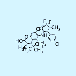 Cc1c(C([C@H](C)C(=O)O)C(C)(C)C)ccc(Cl)c1NC(=O)[C@H](c1ccc(Cl)cc1)[C@@H](C)C(F)(F)F